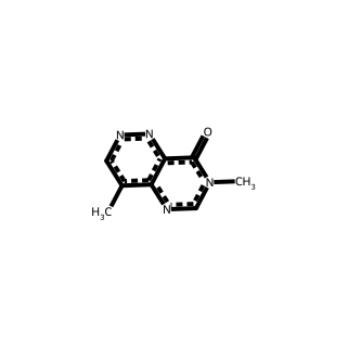 Cc1cnnc2c(=O)n(C)cnc12